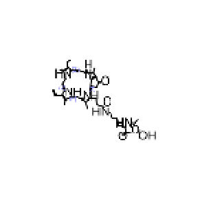 C=Cc1c(C)/c2[nH]/c1=C\C1N/C(=C\c3[nH]c4c(c3C)C(=O)C/C4=C3/NC(/C=2)C(C)C3CCC(=O)NCCCCC(NC(C)OCO)C(C)=O)C(CC)=C1C